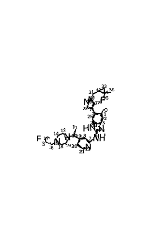 Cc1cc2nc(Nc3cc(C(C)N4CCN(CC(F)(F)F)CC4)ccn3)[nH]c2cc1-c1cnn(CC2CC2(C)F)c1